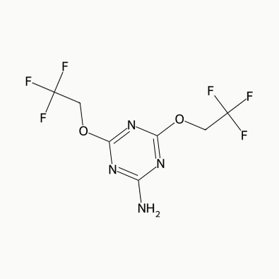 Nc1nc(OCC(F)(F)F)nc(OCC(F)(F)F)n1